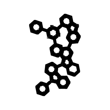 C1=Cc2c(c3cc(-c4ccc5oc6cccc(-c7nc(-c8ccccc8)nc(-c8ccccc8)n7)c6c5c4)ccc3n2-c2cccc3c2c2ccccc2n3-c2ccccc2)CC1